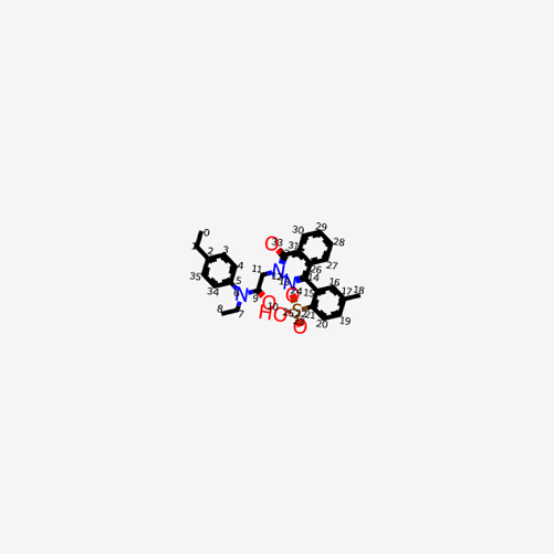 CCc1ccc(N(CC)C(=O)Cn2nc(-c3cc(C)ccc3S(=O)(=O)O)c3ccccc3c2=O)cc1